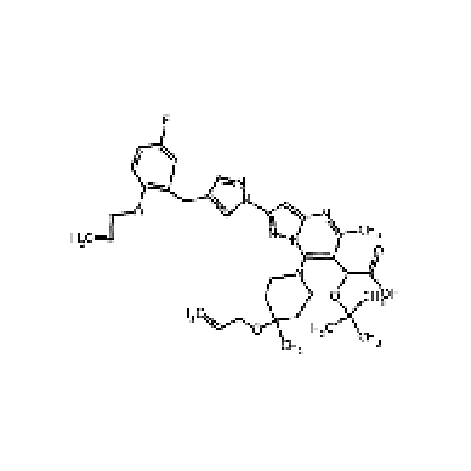 C=CCOc1ccc(F)cc1Cc1cnn(-c2cc3nc(C)c(C(OC(C)(C)C)C(=O)O)c(N4CCC(C)(OCC=C)CC4)n3n2)c1